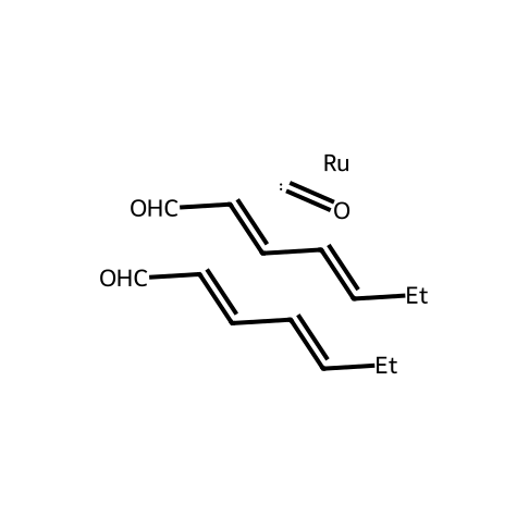 CCC=CC=CC=O.CCC=CC=CC=O.[C]=O.[Ru]